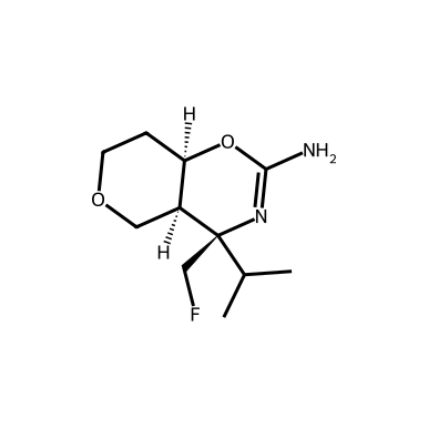 CC(C)[C@@]1(CF)N=C(N)O[C@@H]2CCOC[C@@H]21